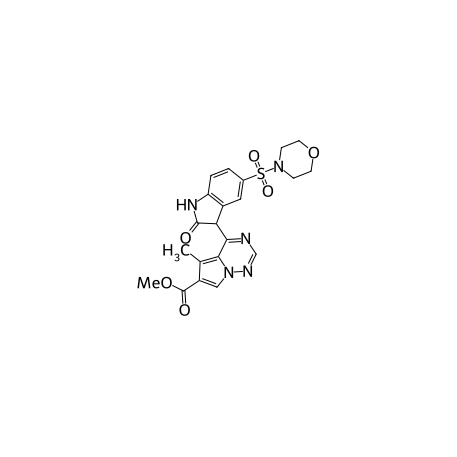 COC(=O)c1cn2ncnc(C3C(=O)Nc4ccc(S(=O)(=O)N5CCOCC5)cc43)c2c1C